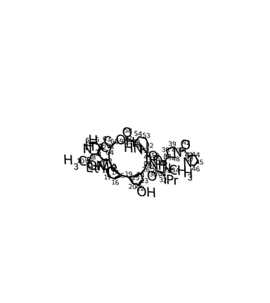 CCn1c(-c2cccnc2[C@H](C)OC)c2c3cc(ccc31)-c1cc(O)cc(c1)C[C@H](NC(=O)[C@H](C(C)C)N(C)C(=O)[C@H]1CCN(C(=O)[C@@H]3CCCN3)C1)C(=O)N1CCC[C@H](N1)C(=O)OCC(C)(C)C2